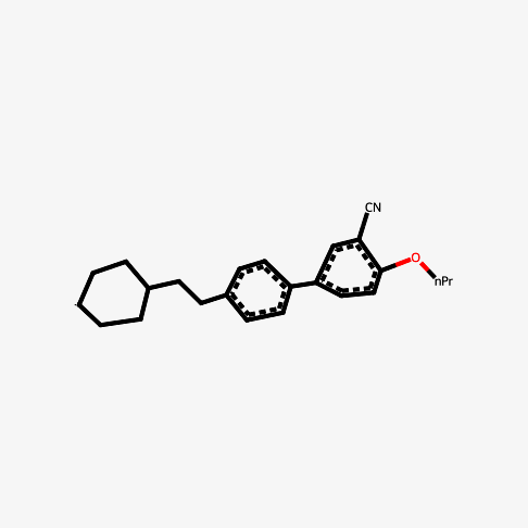 CCCOc1ccc(-c2ccc(CCC3CC[CH]CC3)cc2)cc1C#N